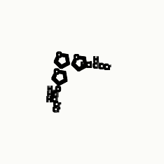 C1CCOC1.C1CCOC1.C1CCOC1.Cl.Cl.Cl.Cl.O.[Cr].[Cr].[Cr].[Cr]